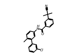 Cc1ccc(NC(=O)c2cccc(C(C)(C)C#N)c2)cc1-c1cccc(Cl)c1